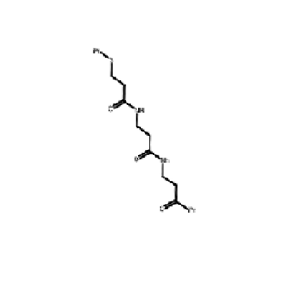 CC(C)SCCC(=O)NCCC(=O)NCCC(=O)C(C)C